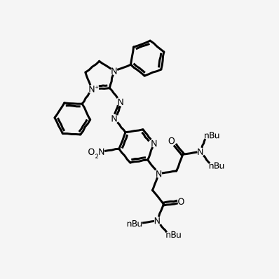 CCCCN(CCCC)C(=O)CN(CC(=O)N(CCCC)CCCC)c1cc([N+](=O)[O-])c(/N=N/C2=[N+](c3ccccc3)CCN2c2ccccc2)cn1